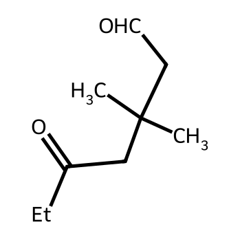 CCC(=O)CC(C)(C)CC=O